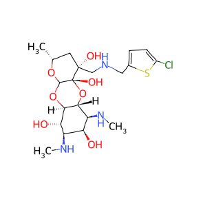 CN[C@@H]1[C@H](O)[C@H](NC)[C@H]2O[C@]3(O)C(O[C@@H]2[C@H]1O)O[C@H](C)C[C@@]3(O)CNCc1ccc(Cl)s1